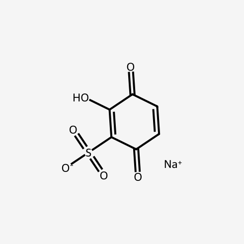 O=C1C=CC(=O)C(S(=O)(=O)[O-])=C1O.[Na+]